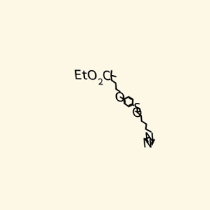 CCOC(=O)C(C)(C)CCCCOc1ccc(SOCCCCCn2ccnc2)cc1